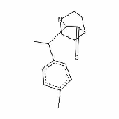 CC(c1ccc(I)cc1)C1C(=O)C2CCN1CC2